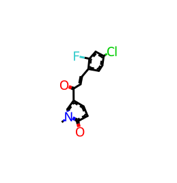 Cn1cc(C(=O)C=Cc2ccc(Cl)cc2F)ccc1=O